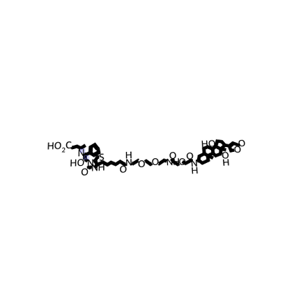 C/C(CCC(=O)O)=N\C(=C(/O)N1C(=O)NC2C(CCCCC(=O)NCCOCCOCCNC(=O)COCC(=O)NC3CCC4(C)C(CCC5C4CC(O)C4(C)C(C6=CC(=O)OC6)CCC54O)C3)SCC21)c1ccccc1